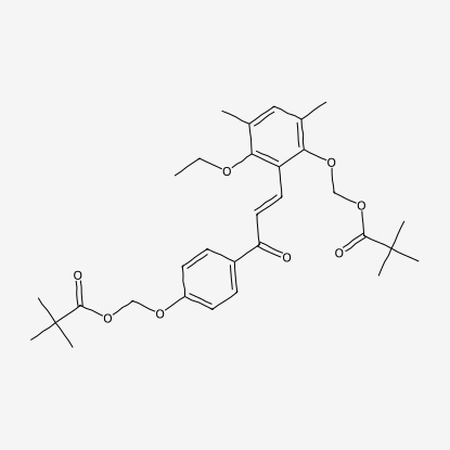 CCOc1c(C)cc(C)c(OCOC(=O)C(C)(C)C)c1C=CC(=O)c1ccc(OCOC(=O)C(C)(C)C)cc1